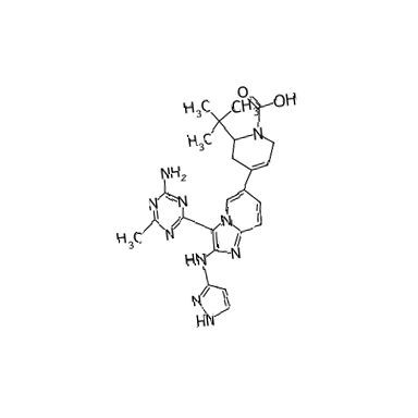 Cc1nc(N)nc(-c2c(Nc3cc[nH]n3)nc3ccc(C4=CCN(C(=O)O)C(C(C)(C)C)C4)cn23)n1